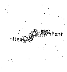 CCCCCCc1ccc(C(=O)Oc2ccc(CCc3ccc(OCCCCC)cn3)cc2)cc1